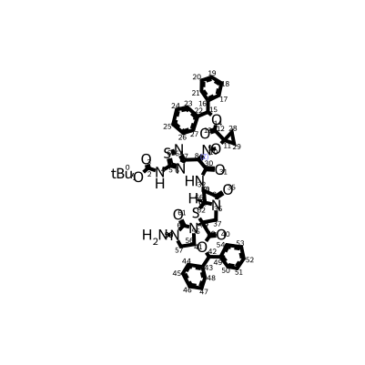 CC(C)(C)OC(=O)Nc1nc(/C(=N/OC2(C(=O)OC(c3ccccc3)c3ccccc3)CC2)C(=O)N[C@@H]2C(=O)N3C[C@@](C(=O)OC(c4ccccc4)c4ccccc4)(N4CCN(N)C4=O)S[C@H]23)ns1